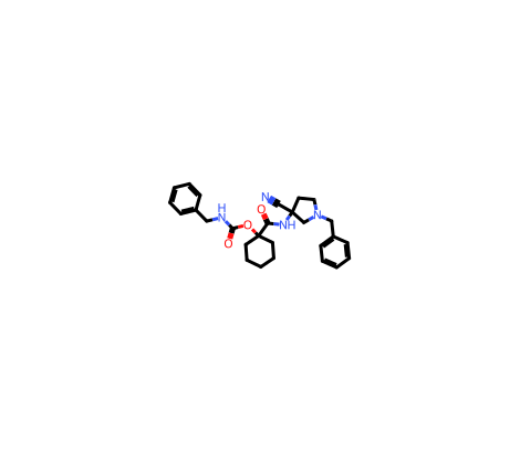 N#CC1(NC(=O)C2(OC(=O)NCc3ccccc3)CCCCC2)CCN(Cc2ccccc2)C1